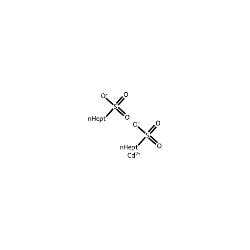 CCCCCCCS(=O)(=O)[O-].CCCCCCCS(=O)(=O)[O-].[Cd+2]